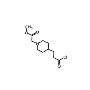 COC(=O)CN1CCC(CCC(=O)Cl)CC1